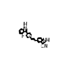 N#Cc1c[nH]c2ccc(CCCN3CCC(c4c[nH]c5cccc(F)c45)CC3)cc12